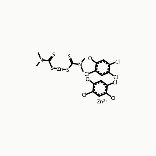 CN(C)C(=S)[S][Zn][S]C(=S)N(C)C.[O-]c1cc(Cl)c(Cl)cc1Cl.[O-]c1cc(Cl)c(Cl)cc1Cl.[Zn+2]